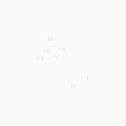 BC(B)NC(B)(CC)Cc1ccc2c(c1)OC(B)(B)O2